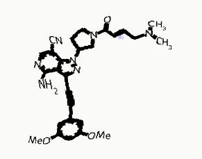 COc1cc(C#Cc2nn(C3CCN(C(=O)/C=C/CN(C)C)C3)c3c(C#N)cnc(N)c23)cc(OC)c1